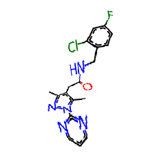 Cc1nn(-c2ncccn2)c(C)c1CC(=O)NCc1ccc(F)cc1Cl